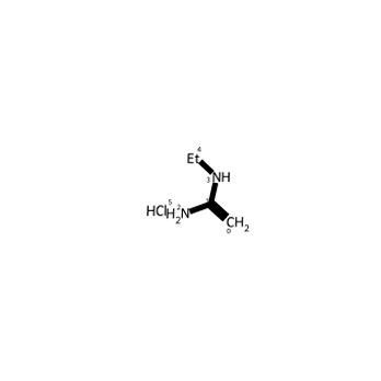 C=C(N)NCC.Cl